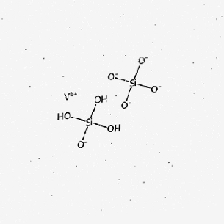 [O-][Si](O)(O)O.[O-][Si]([O-])([O-])[O-].[V+5]